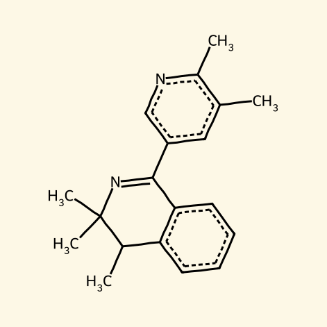 Cc1cc(C2=NC(C)(C)C(C)c3ccccc32)cnc1C